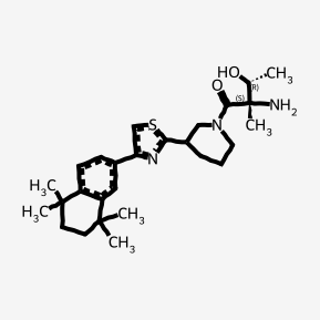 C[C@@H](O)[C@](C)(N)C(=O)N1CCCC(c2nc(-c3ccc4c(c3)C(C)(C)CCC4(C)C)cs2)C1